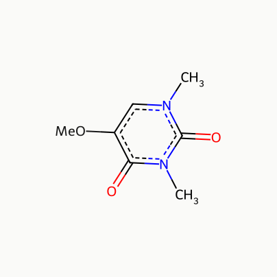 COc1cn(C)c(=O)n(C)c1=O